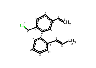 C=Cc1ccc(CCl)cc1.CC=Cc1ccccc1